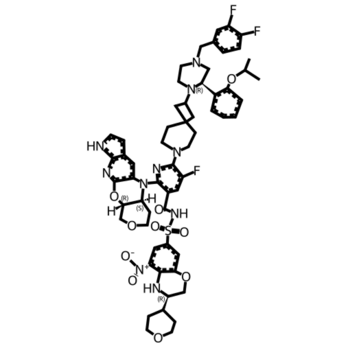 CC(C)Oc1ccccc1[C@@H]1CN(Cc2ccc(F)c(F)c2)CCN1C1CC2(CCN(c3nc(N4c5cc6cc[nH]c6nc5O[C@H]5COCC[C@@H]54)c(C(=O)NS(=O)(=O)c4cc5c(c([N+](=O)[O-])c4)N[C@H](C4CCOCC4)CO5)cc3F)CC2)C1